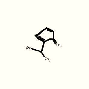 C=C1C=CC=C1C(C)C(C)C